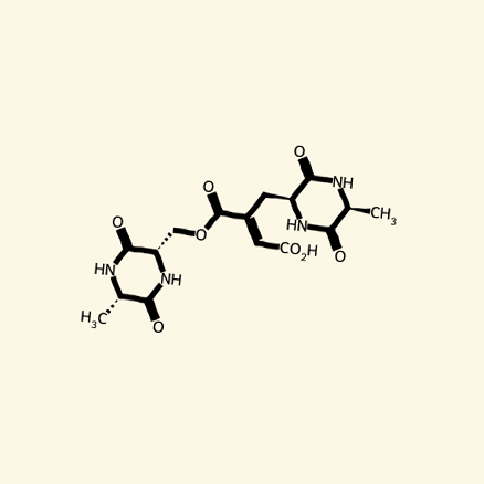 C[C@@H]1NC(=O)[C@H](COC(=O)C(=CC(=O)O)C[C@@H]2NC(=O)[C@H](C)NC2=O)NC1=O